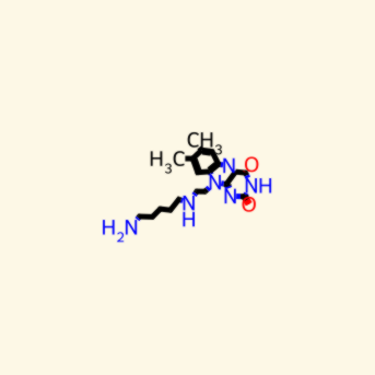 Cc1cc2nc3c(=O)[nH]c(=O)nc-3n(CCNCCCCCN)c2cc1C